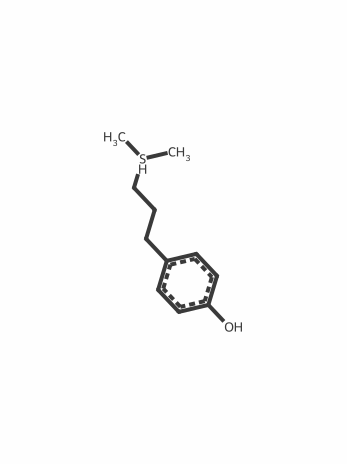 C[SH](C)CCCc1ccc(O)cc1